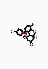 O=C1CC[C@@]2(S(=O)(=O)c3ccc(Cl)cc3)c3c(F)ccc(F)c3OC[C@@H]2C1